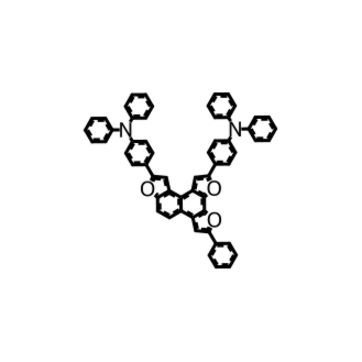 c1ccc(-c2cc3c4ccc5oc(-c6ccc(N(c7ccccc7)c7ccccc7)cc6)cc5c4c4cc(-c5ccc(N(c6ccccc6)c6ccccc6)cc5)oc4c3o2)cc1